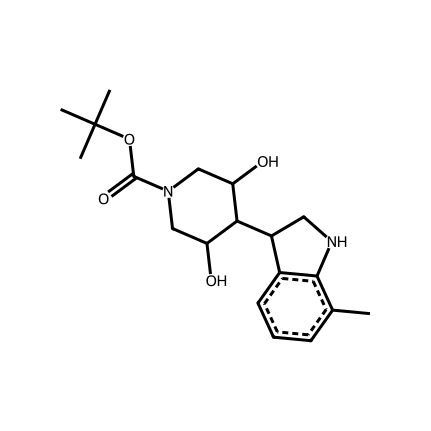 Cc1cccc2c1NCC2C1C(O)CN(C(=O)OC(C)(C)C)CC1O